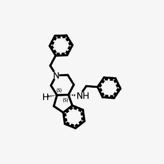 c1ccc(CN[C@@]23CCN(Cc4ccccc4)C[C@@H]2Cc2ccccc23)cc1